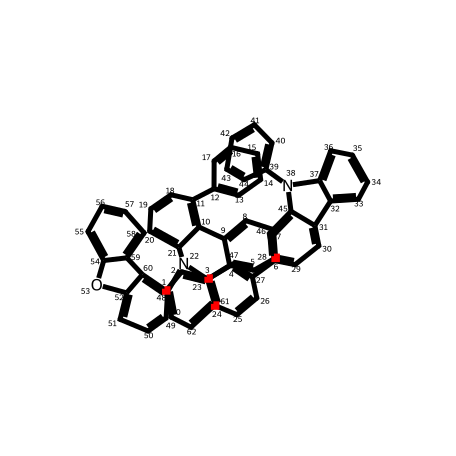 c1ccc(-c2ccccc2-c2c(-c3ccccc3)cccc2N(c2cccc(-c3ccc4c5ccccc5n(-c5ccccc5)c4c3)c2)c2cccc3oc4ccccc4c23)cc1